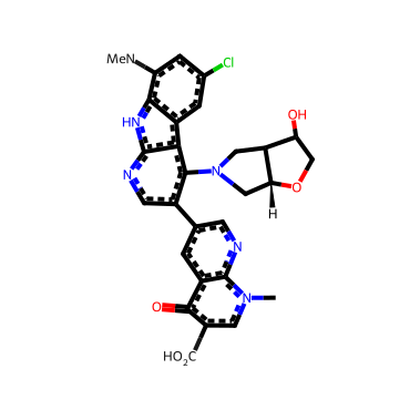 CNc1cc(Cl)cc2c1[nH]c1ncc(-c3cnc4c(c3)c(=O)c(C(=O)O)cn4C)c(N3CC4C(O)CO[C@@H]4C3)c12